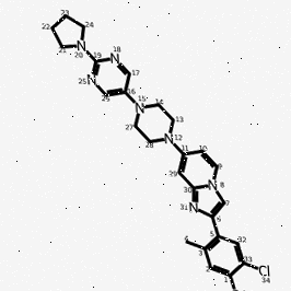 COc1cc(C)c(-c2cn3ccc(N4CCN(c5cnc(N6CCCC6)nc5)CC4)cc3n2)cc1Cl